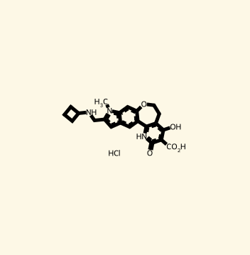 Cl.Cn1c(CNC2CCC2)cc2cc3c(cc21)OCCc1c-3[nH]c(=O)c(C(=O)O)c1O